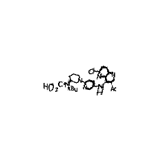 CC(=O)c1cnc2ccc(Cl)nc2c1Nc1ccc(N2CCC[C@H](N(C(=O)O)C(C)(C)C)C2)nc1